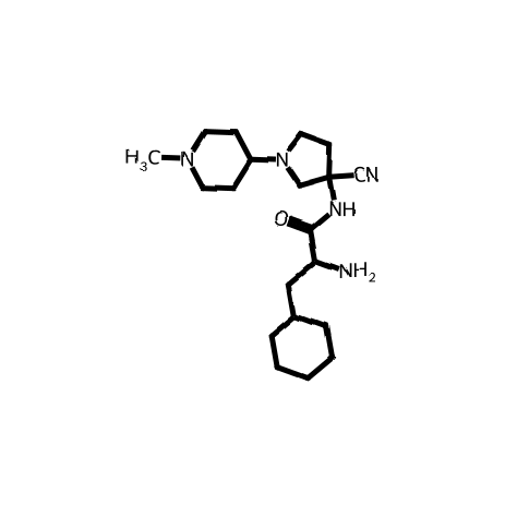 CN1CCC(N2CCC(C#N)(NC(=O)C(N)CC3CCCCC3)C2)CC1